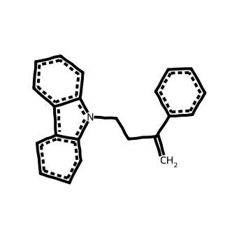 C=C(CCn1c2ccccc2c2ccccc21)c1ccccc1